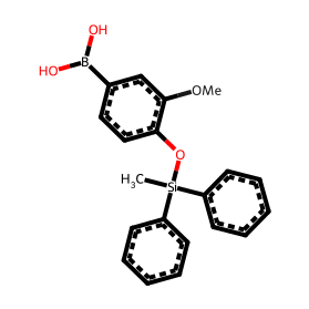 COc1cc(B(O)O)ccc1O[Si](C)(c1ccccc1)c1ccccc1